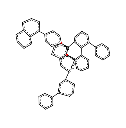 c1ccc(-c2cccc(-c3ccc(N(c4ccc(-c5cccc6ccccc56)cc4)c4cccc(-c5ccccc5)c4-c4ccccc4-c4ccccc4)cc3)c2)cc1